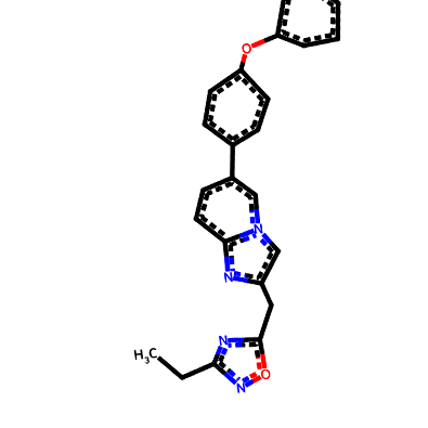 CCc1noc(Cc2cn3cc(-c4ccc(Oc5ccccc5)cc4)ccc3n2)n1